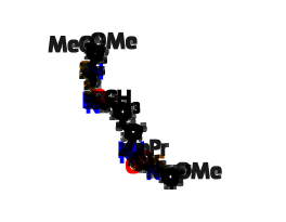 CCCn1c(-c2cccc(Cc3cccc(C(C)Cc4nnc(SCc5csc(-c6ccc(OC)c(OC)c6)n5)o4)c3)c2)nnc1S(=O)(=O)Cc1csc(-c2cccc(OC)c2)n1